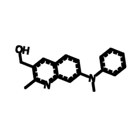 Cc1nc2cc(N(C)c3ccccc3)ccc2cc1CO